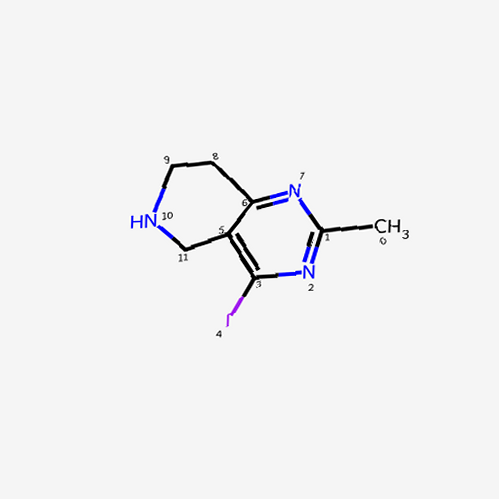 Cc1nc(I)c2c(n1)CCNC2